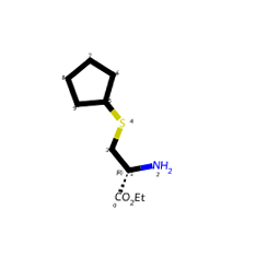 CCOC(=O)[C@@H](N)CSC1CCCC1